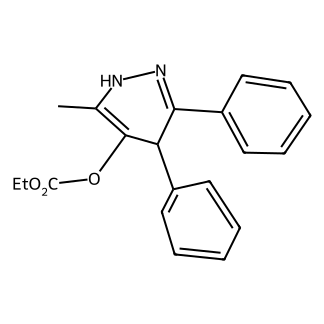 CCOC(=O)OC1=C(C)NN=C(c2ccccc2)C1c1ccccc1